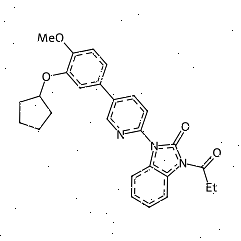 CCC(=O)n1c(=O)n(-c2ccc(-c3ccc(OC)c(OC4CCCC4)c3)cn2)c2ccccc21